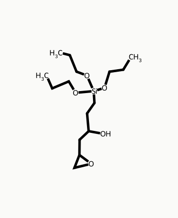 CCCO[Si](CCC(O)CC1CO1)(OCCC)OCCC